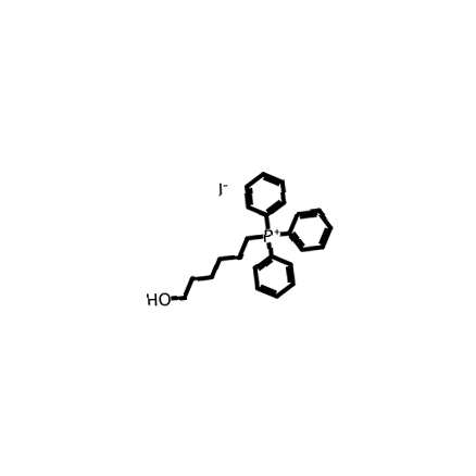 OCCCCCC[P+](c1ccccc1)(c1ccccc1)c1ccccc1.[I-]